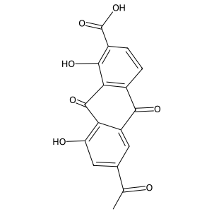 CC(=O)c1cc(O)c2c(c1)C(=O)c1ccc(C(=O)O)c(O)c1C2=O